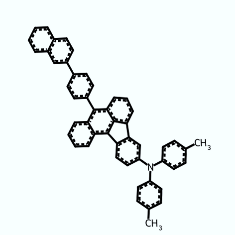 Cc1ccc(N(c2ccc(C)cc2)c2ccc3c(c2)-c2cccc4c(-c5ccc(-c6ccc7ccccc7c6)cc5)c5ccccc5c-3c24)cc1